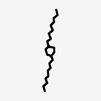 CCCCCCCCCN1CCN(CCCCCCCCC)CC1